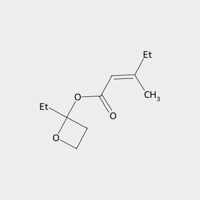 CCC(C)=CC(=O)OC1(CC)CCO1